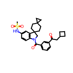 CS(=O)(=O)Nc1ccc2c(c1)C1(CCC3(CC3)CC1)CN2C(=O)c1cccc(C(=O)CC2CCC2)c1